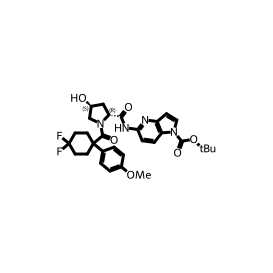 COc1ccc(C2(C(=O)N3C[C@@H](O)C[C@@H]3C(=O)Nc3ccc4c(ccn4C(=O)OC(C)(C)C)n3)CCC(F)(F)CC2)cc1